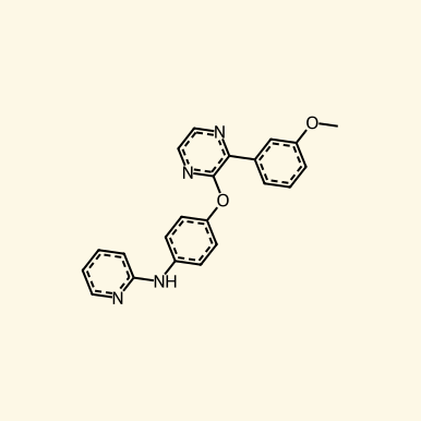 COc1cccc(-c2nccnc2Oc2ccc(Nc3ccccn3)cc2)c1